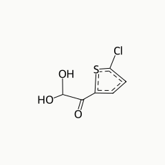 O=C(c1ccc(Cl)s1)C(O)O